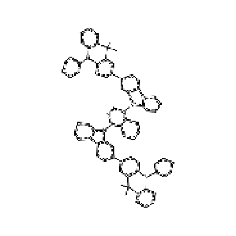 CC1(C)c2ccccc2N(c2ccccc2)c2ccc(-c3ccc4c5ccccc5n(-c5cnc(-n6c7ccccc7c7ccc(-c8ccc9c(c8)C(C)(C)c8ccccc8N9c8ccccc8)cc76)c6ccccc56)c4c3)cc21